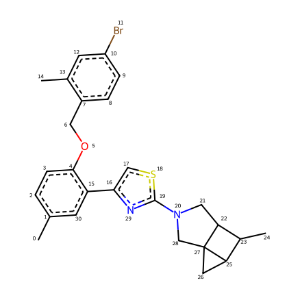 Cc1ccc(OCc2ccc(Br)cc2C)c(-c2csc(N3CC4C(C)C5CC45C3)n2)c1